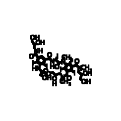 CN(CC(O)CO)C(=O)c1c(I)c(C(=O)N(C)CC(O)CO)c(I)c(N(C)C(=O)C(I)NC(=O)c2cc(C(=O)NCC(O)CO)c(I)c(NC(=O)CO)c2I)c1I